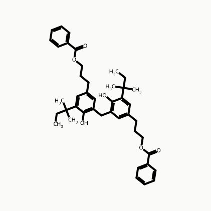 CCC(C)(C)c1cc(CCCOC(=O)c2ccccc2)cc(Cc2cc(CCCOC(=O)c3ccccc3)cc(C(C)(C)CC)c2O)c1O